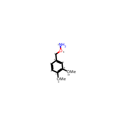 COc1ccc(CON)cc1OC